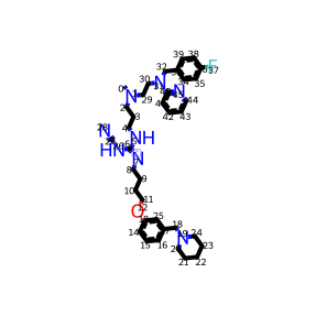 CN(CCCN/C(=N/CCCCOc1cccc(CN2CCCCC2)c1)NC#N)CCN(Cc1ccc(F)cc1)c1ccccn1